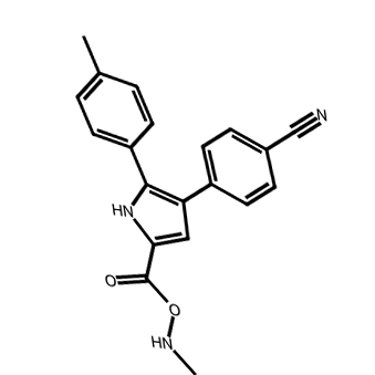 CNOC(=O)c1cc(-c2ccc(C#N)cc2)c(-c2ccc(C)cc2)[nH]1